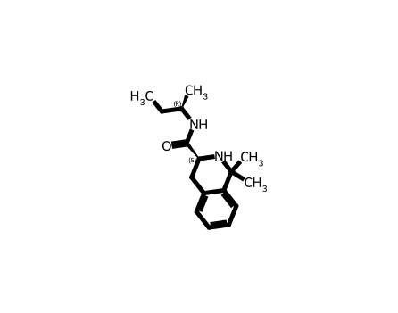 CC[C@@H](C)NC(=O)[C@@H]1Cc2ccccc2C(C)(C)N1